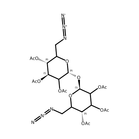 CC(=O)OC1C(OC(C)=O)[C@H](OC(C)=O)C(CN=[N+]=[N-])O[C@H]1O[C@H]1OC(CN=[N+]=[N-])[C@@H](OC(C)=O)[C@H](OC(C)=O)C1OC(C)=O